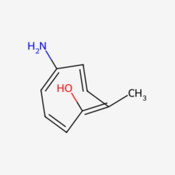 CC1=C(O)\C=C/C=C(N)\C=C\1